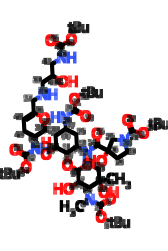 CN(C(=O)OC(C)(C)C)[C@@H]1[C@@H](O)[C@@H](O[C@H]2[C@H](NC(=O)C3(O)CCN(C(=O)OC(C)(C)C)C3)C[C@H](NC(=O)OC(C)(C)C)C([C@H]3OC(CNCC(O)CNC(=O)OC(C)(C)C)=CC[C@H]3NC(=O)OC(C)(C)C)[C@@H]2O)OC[C@]1(C)O